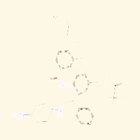 COCCOc1ccc(C(N)=O)c(-c2cc(C(CNC3CCC(N)CC3)c3ccccc3)cc(F)c2Cl)c1F.O=C(O)C(F)(F)F